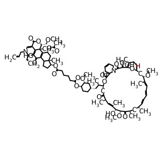 C=CCN(/C=C1/C(=O)O[C@H](COC)[C@@]2(C)C1=C(O)C(=O)C1=C2[C@H](OC(C)=O)C[C@@]2(C)C1CC[C@@H]2OC(=O)CCCCC(=O)O[C@@H]1CC[C@@H](C[C@@H](C)[C@@H]2CC(=O)[C@H](C)/C=C(\C)[C@@H](O)[C@@H](OC)C(=O)[C@H](C)C[C@H](C)/C=C/C=C/C=C(\C)[C@@H](OC)C[C@@H]3CC[C@@H](C)[C@@](O)(O3)C(=O)C(=O)N3CC=CC[C@H]3C(=O)O2)C[C@H]1OC)CC=C